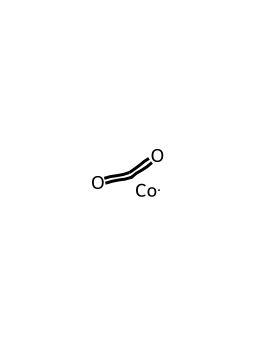 O=C=O.[Co]